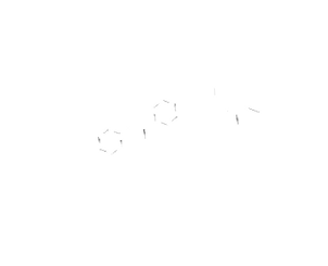 CC(CC(C)Oc1ccc(C(=O)Oc2ccc(C3CCCCC3)cc2)cc1)OC(=O)/C=C\I